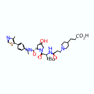 Cc1ncsc1-c1ccc(C(C)NC(=O)[C@@H]2C[C@@H](O)CN2C(=O)C(NC(=O)CCN2CCC(CCC(=O)O)CC2)C(C)(C)C)cc1